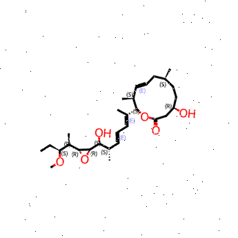 CC[C@H](OC)[C@@H](C)[C@H]1O[C@@H]1[C@@H](O)[C@@H](C)/C=C/C=C(\C)[C@H]1OC(=O)C[C@H](O)CC[C@H](C)C/C=C/[C@@H]1C